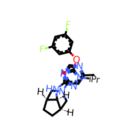 Cc1cc(N2C[C@H]3CC[C@@H](C2)[C@H]3Nc2nc(Oc3cc(F)cc(F)c3)n(C(C)C)n2)ncn1